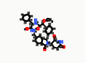 COC(C(=O)N[C@H](C(=O)NCc1ccc2c(c1)CN(C1CCC(=O)NC1=O)C2=O)c1ccccc1)c1ccccc1